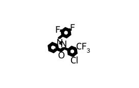 O=c1c(-c2cc(Cl)cc(C(F)(F)F)c2)nn(Cc2ccc(F)cc2F)c2ccccc12